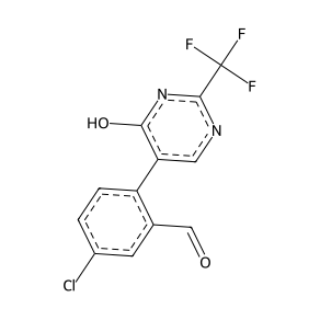 O=Cc1cc(Cl)ccc1-c1cnc(C(F)(F)F)nc1O